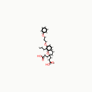 CCCc1c(OCCCOc2ccccc2)ccc2c1OC(CCC(=O)O)(CCC(=O)O)CC2